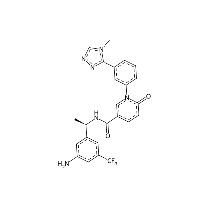 C[C@@H](NC(=O)c1ccc(=O)n(-c2cccc(-c3nncn3C)c2)c1)c1cc(N)cc(C(F)(F)F)c1